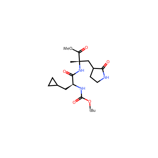 COC(=O)[C@](C)(CC1CCNC1=O)NC(=O)[C@H](CC1CC1)NC(=O)OC(C)(C)C